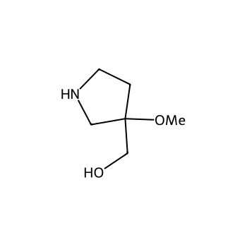 COC1(CO)CCNC1